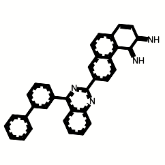 N=C1C=Cc2ccc3cc(-c4nc(-c5cccc(-c6ccccc6)c5)c5ccccc5n4)ccc3c2C1=N